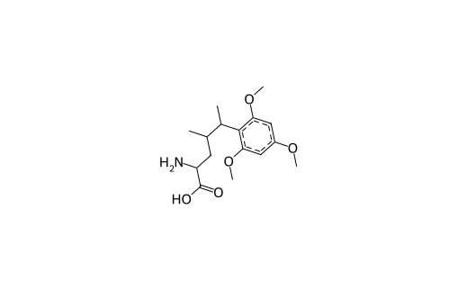 COc1cc(OC)c(C(C)C(C)CC(N)C(=O)O)c(OC)c1